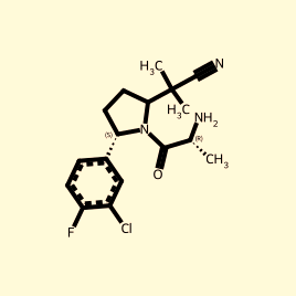 C[C@@H](N)C(=O)N1C(C(C)(C)C#N)CC[C@H]1c1ccc(F)c(Cl)c1